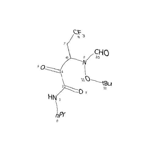 CCCNC(=O)C(=O)C(CC(F)(F)F)N(C=O)OC(C)(C)C